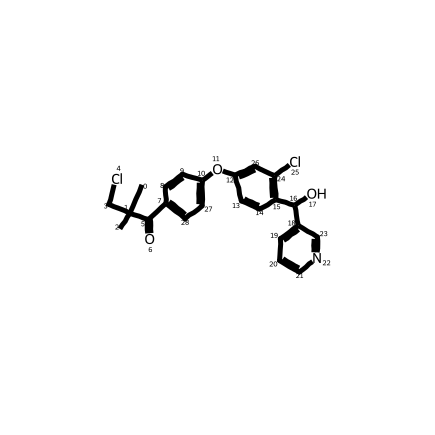 CC(C)(CCl)C(=O)c1ccc(Oc2ccc(C(O)c3cccnc3)c(Cl)c2)cc1